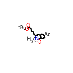 CC(=O)c1ccc2c(=O)n(C)c(CCCCC(=O)OC(C)(C)C)cc2c1